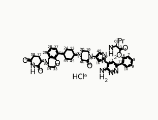 CC(C)[C@H](N)C(=O)Oc1ccccc1-c1cc(-n2cc(N3CCN(C4CCC(c5cccc6c5OCCN6[C@H]5CCC(=O)NC5=O)CC4)CC3=O)cn2)c(N)nn1.Cl